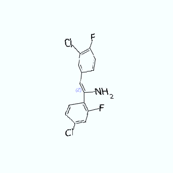 N/C(=C\c1ccc(F)c(Cl)c1)c1ccc(Cl)cc1F